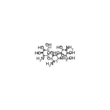 NC1C[C@@H](N)C(OC2OC(CO)[C@@H](O)[C@H](O)C2N)[C@H](O)C1O[C@H]1OC(CO)[C@@H](O)[C@H](N)C1O